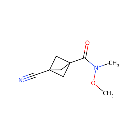 CON(C)C(=O)C12CC(C#N)(C1)C2